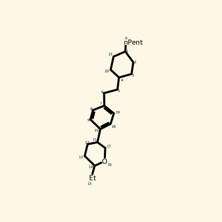 CCCCCC1CCC(CCc2ccc(C3CCC(CC)OC3)cc2)CC1